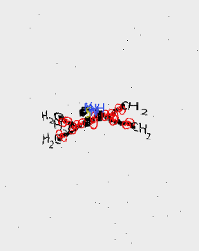 C=CC(=O)OCCCCOCC(COc1ccc(C(=O)Oc2ccc(OCC(COCCCCOC(=O)C=C)OC(=O)CCOC(=O)C=C)cc2/C=N/Nc2nc3ccccc3s2)cc1)OC(=C)CCOC(=O)C=C